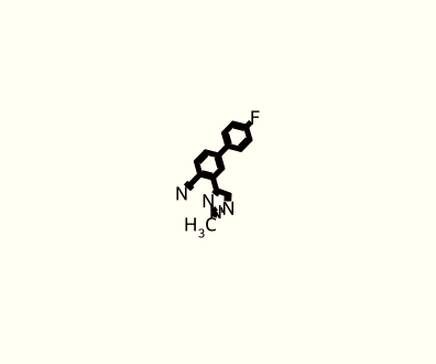 Cn1ncc(-c2cc(-c3ccc(F)cc3)ccc2C#N)n1